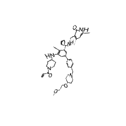 C=CC(=O)N1CCC(Nc2cc(-c3ccc(CN4CCC(OCCOC)CC4)cc3)cc(C(=O)NCc3c(C)cc(C)[nH]c3=O)c2C)CC1